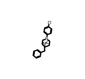 Clc1ccc(N2CC3CCC2CN3Cc2ccccc2)cc1